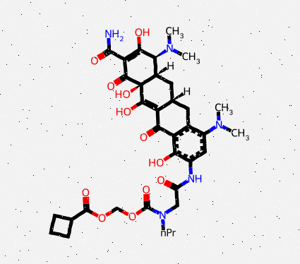 CCCN(CC(=O)Nc1cc(N(C)C)c2c(c1O)C(=O)C1=C(O)[C@]3(O)C(=O)C(C(N)=O)=C(O)[C@@H](N(C)C)[C@@H]3C[C@@H]1C2)C(=O)OCOC(=O)C1CCC1